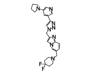 FC1(F)CCN(Cc2ccc3nc(Cn4cc(-c5cncc(N6CCCC6)c5)nn4)cn3c2)CC1